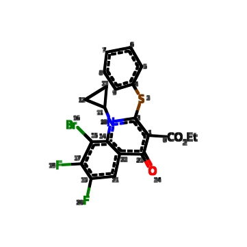 CCOC(=O)c1c(Sc2ccccc2)n(C2CC2)c2c(Br)c(F)c(F)cc2c1=O